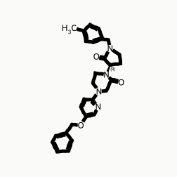 Cc1ccc(CN2CC[C@@H](N3CCN(c4ccc(OCc5ccccc5)cn4)CC3=O)C2=O)cc1